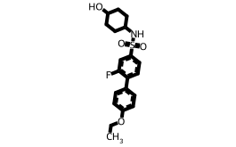 CCOc1ccc(-c2ccc(S(=O)(=O)NC3CCC(O)CC3)cc2F)cc1